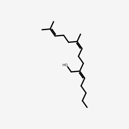 CCCCC=C(CO)CCC=C(C)CCC=C(C)C